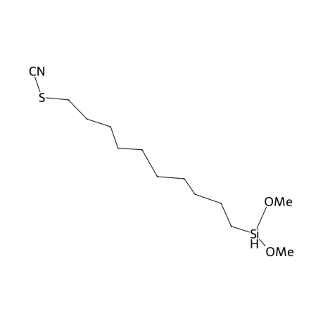 CO[SiH](CCCCCCCCCCSC#N)OC